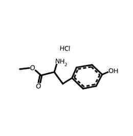 COC(=O)C(N)Cc1ccc(O)cc1.Cl